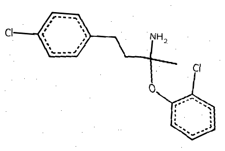 CC(N)(CCc1ccc(Cl)cc1)Oc1ccccc1Cl